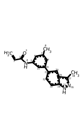 C=CC(=O)Nc1cc(C)cc(-c2ccc3[nH]nc(C)c3c2)c1